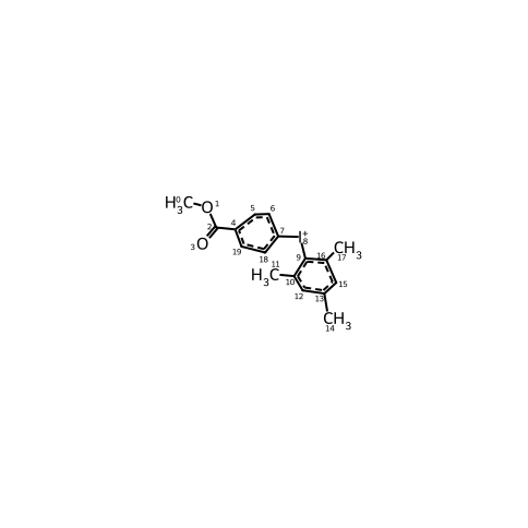 COC(=O)c1ccc([I+]c2c(C)cc(C)cc2C)cc1